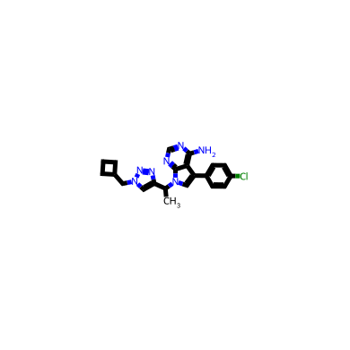 CC(c1cn(CC2CCC2)nn1)n1cc(-c2ccc(Cl)cc2)c2c(N)ncnc21